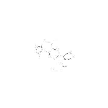 C=C(/N=C1\C(=C/N)n2c(C)nnc2[C@@H](CC)N1C(C)C)c1ccncc1NC(=O)OC